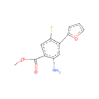 COC(=O)c1cc(F)c(-c2ccco2)cc1N